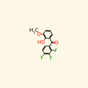 COc1cccc(C(=O)c2ccc(F)c(F)c2F)c1O